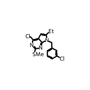 CCc1cc2c(Cl)nc(SC)nc2n1Cc1cccc(Cl)c1